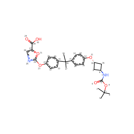 CC(C)(C)OC(=O)N[C@H]1C[C@H](Oc2ccc(C(C)(C)c3ccc(Oc4ncc(C(=O)O)o4)cc3)cc2)C1